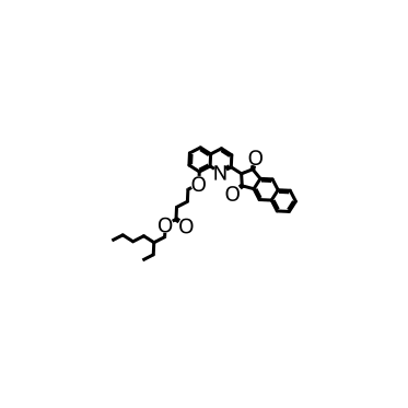 CCCCC(CC)COC(=O)CCCOc1cccc2ccc(C3C(=O)c4cc5ccccc5cc4C3=O)nc12